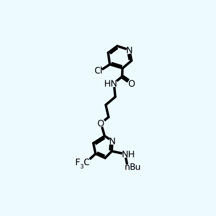 CCCCNc1cc(C(F)(F)F)cc(OCCCNC(=O)c2cnccc2Cl)n1